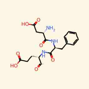 N[C@@H](CC(=O)O)C(=O)N[C@@H](Cc1ccccc1)C(=O)N[C@H]([C]=O)CCC(=O)O